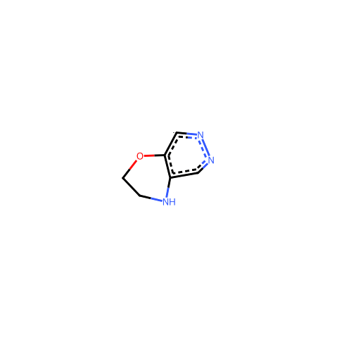 [c]1nncc2c1OCCN2